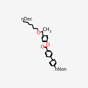 CCCCCCCCCCCCCCCCOC(C)c1ccc(OC(=O)c2ccc(-c3ccc(CCCCCCCCC)cc3)cc2)cc1